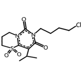 CC(C)c1c2n(c(=O)n(CCCCCl)c1=O)CCCS2(=O)=O